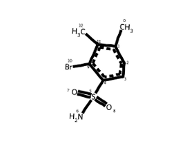 Cc1ccc(S(N)(=O)=O)c(Br)c1C